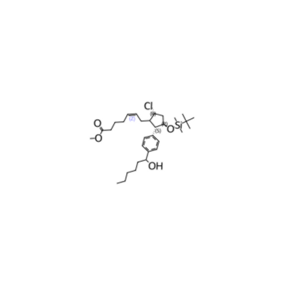 CCCCCC(O)c1ccc([C@@H]2C(C/C=C\CCCC(=O)OC)[C@H](Cl)C[C@H]2O[Si](C)(C)C(C)(C)C)cc1